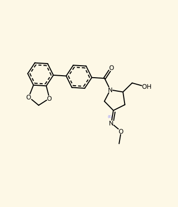 CO/N=C1\CC(CO)N(C(=O)c2ccc(-c3cccc4c3OCO4)cc2)C1